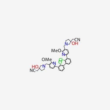 COc1nc(-c2cccc(-c3cccc(-c4ccc(CN5CCC(O)(CC#N)C5)c(OC)n4)c3Cl)c2Cl)ccc1CN1CCC(O)(CC#N)C1